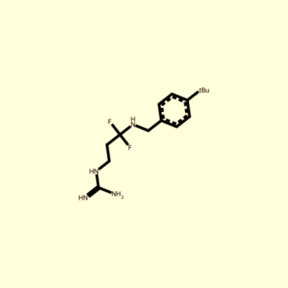 CC(C)(C)c1ccc(CNC(F)(F)CCNC(=N)N)cc1